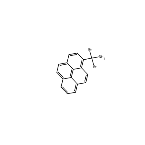 CCC(N)(CC)c1ccc2ccc3cccc4ccc1c2c34